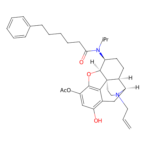 C=CCN1CC[C@]23c4c5c(O)cc(OC(C)=O)c4O[C@H]2[C@@H](N(C(=O)CCCCCc2ccccc2)C(C)C)CC[C@H]3[C@H]1C5